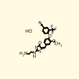 COc1cc(/C=C2/SC(NCCN)=NC2=O)ccc1Oc1ccc(C#N)cc1C(F)(F)F.Cl